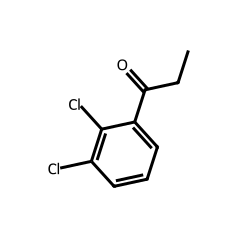 CCC(=O)c1cccc(Cl)c1Cl